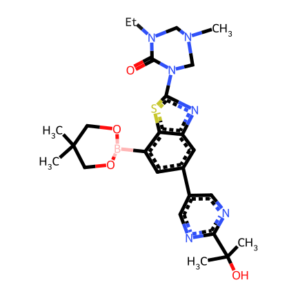 CCN1CN(C)CN(c2nc3cc(-c4cnc(C(C)(C)O)nc4)cc(B4OCC(C)(C)CO4)c3s2)C1=O